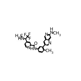 CNc1cc2ncc(-c3cc(NC(=O)c4cc(C(NC)C(F)(F)F)ccn4)ccc3C)cc2cn1